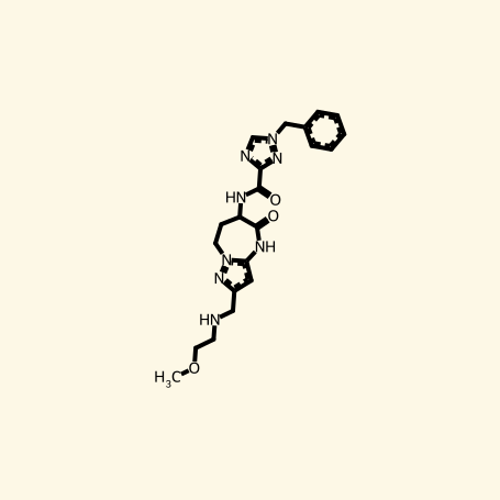 COCCNCc1cc2n(n1)CCC(NC(=O)c1ncn(Cc3ccccc3)n1)C(=O)N2